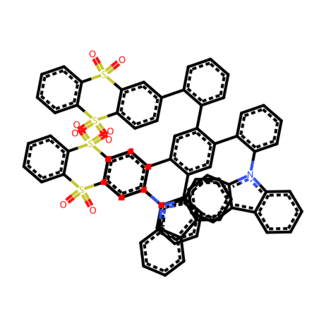 O=S1(=O)c2ccccc2S(=O)(=O)c2cc(-c3ccccc3-c3cc(-c4ccccc4-n4c5ccccc5c5ccccc54)c(-c4ccccc4-c4ccc5c(c4)S(=O)(=O)c4ccccc4S5(=O)=O)cc3-c3ccccc3-n3c4ccccc4c4ccccc43)ccc21